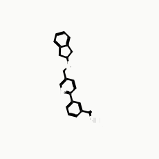 NC(=O)c1cccc(-c2ccc(CNC3Cc4ccccc4C3)cn2)c1